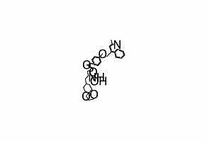 Cc1cc(COc2ccc(S(=O)(=O)CC(CC3CCC4(CC3)OCCO4)NO)cc2)c2ccccc2n1